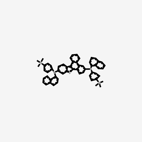 C[Si](C)(C)c1ccc(N(c2ccc3c(c2)sc2c4ccc(N(c5ccc([Si](C)(C)C)cc5)c5cccc6ccccc56)cc4c4ccccc4c32)c2cccc3ccccc23)cc1